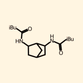 CCC(C)C(=O)NC1CC2CC(NC(=O)C(C)CC)C1C2